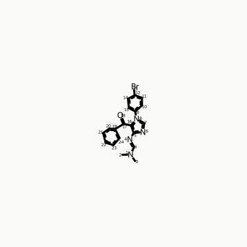 CN(C)/C=N/c1ncn(-c2ccc(Br)cc2)c1C(=O)c1ccccc1